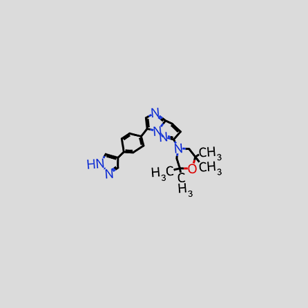 CC1(C)CN(c2ccc3ncc(-c4ccc(-c5cn[nH]c5)cc4)n3n2)CC(C)(C)O1